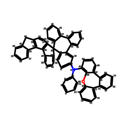 c1ccc(N(c2ccc3c(c2)-c2ccccc2-c2ccccc2C32c3ccccc3-c3c2ccc2c3-c3ccccc3C2)c2cccc3c2Oc2ccccc2-c2ccccc2-3)cc1